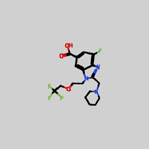 O=C(O)c1cc(F)c2nc(CN3CCCCC3)n(CCOCC(F)(F)F)c2c1